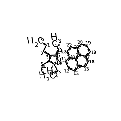 C=C/C=c1/c(C=C)c(C=C)n(-c2ccc3ccc4cccc5ccc2c3c45)/c1=C/C